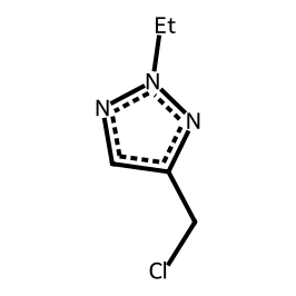 CCn1ncc(CCl)n1